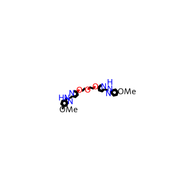 COc1ccc2[nH]c(-c3ccc(OCCOCCOc4ccc(-c5nc6ccc(OC)cc6[nH]5)nc4)cn3)nc2c1